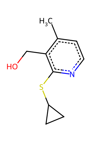 Cc1ccnc(SC2CC2)c1CO